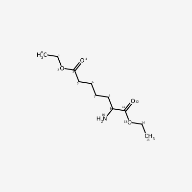 CCOC(=O)CCCCC(N)C(=O)OCC